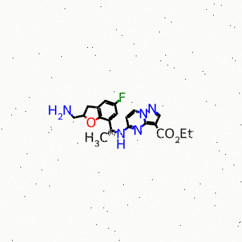 CCOC(=O)c1cnn2ccc(N[C@H](C)c3cc(F)cc4c3OC(CN)C4)nc12